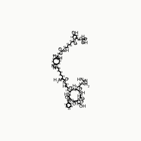 N=C(N)NCCC[C@@H]1NC(=O)[C@H](CCCCNC(=O)[C@H](N)CCCCCn2nnc3c2CC[C@@H]2[C@H](CC3)[C@@H]2COC(=O)NCCCCCC(=O)N2C[C@H](O)C[C@H]2CO[PH](=O)O)NC(=O)[C@@H](Cc2ccccc2)NC(=O)[C@H](CC(=O)O)NC(=O)CNC1=O